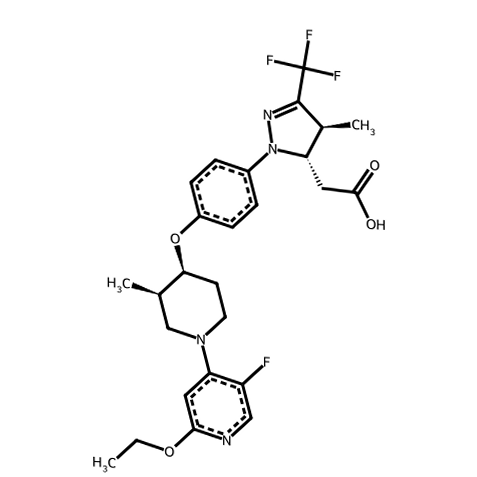 CCOc1cc(N2CC[C@H](Oc3ccc(N4N=C(C(F)(F)F)[C@@H](C)[C@@H]4CC(=O)O)cc3)[C@H](C)C2)c(F)cn1